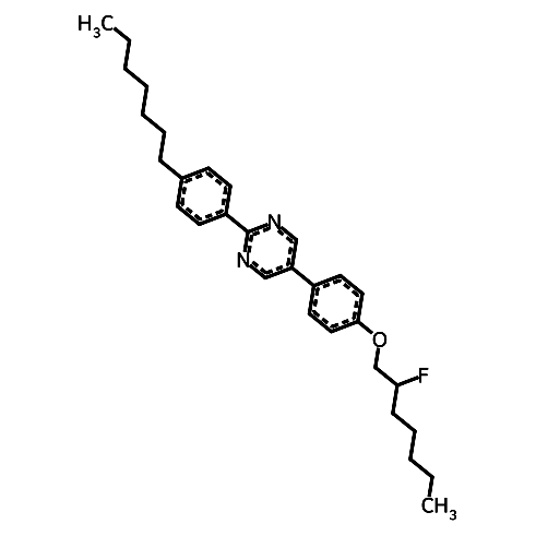 CCCCCCCc1ccc(-c2ncc(-c3ccc(OCC(F)CCCCC)cc3)cn2)cc1